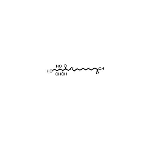 O=C(O)CCCCCCCCOCC(=O)[C@@H](O)[C@H](O)[C@H](O)CO